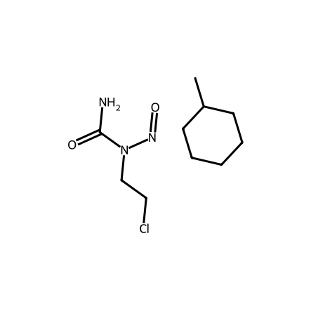 CC1CCCCC1.NC(=O)N(CCCl)N=O